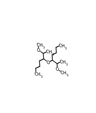 CCCCC(OC(CCCC)C(C)OC)C(C)OC